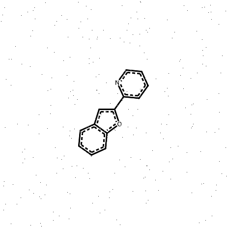 [c]1ccc2cc(-c3ccccn3)oc2c1